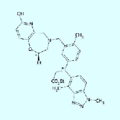 CCOC(=O)C[C@H](c1ccc(C)c(CN2Cc3nc(O)ccc3O[C@H](CC)C2)c1)c1ccc2c(nnn2C)c1C